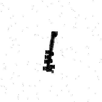 CN[C@@H](CCCCNC(=O)CCNCCC(=O)NCCCCCCCCCCCCCCC(=O)O)C(=O)O